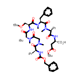 CC[C@H](C)[C@@H](C(=O)N[C@@H](COC(C)(C)C)C(=O)N(C)[C@@H](Cc1ccccc1)C(=O)N(C)[C@H](C(=O)N[C@@H](CC(=O)OC(C)(C)C)C(=O)O)C(C)C)N(C)C(=O)CN(C)C(=O)[C@@H](NC(=O)OCc1ccccc1)C(C)C